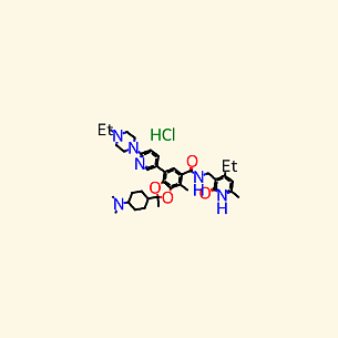 CCc1cc(C)[nH]c(=O)c1CNC(=O)c1cc(-c2ccc(N3CCN(CC)CC3)nc2)c2c(c1C)OC(C)(C1CCC(N(C)C)CC1)O2.Cl